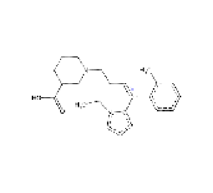 CCn1cccc1/C(=C\CCN1CCCC(C(=O)O)C1)c1ccccc1C